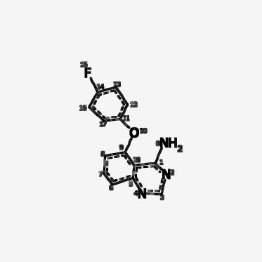 Nc1ncnc2cccc(Oc3ccc(F)cc3)c12